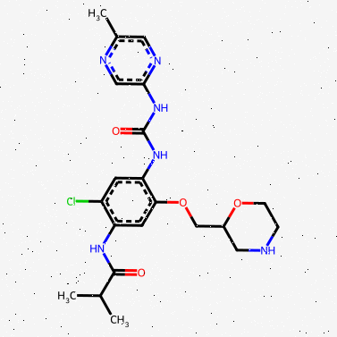 Cc1cnc(NC(=O)Nc2cc(Cl)c(NC(=O)C(C)C)cc2OCC2CNCCO2)cn1